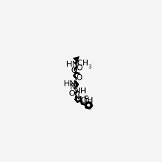 CC1(NC(=O)O[C@H]2CO[C@@H](c3cc(NC(=O)N4CC[C@@](O)(Cc5ccccc5F)C4)n[nH]3)C2)CC1